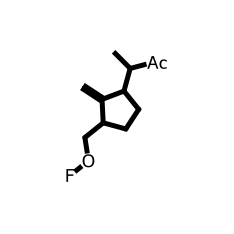 C=C1C(COF)CCC1C(C)C(C)=O